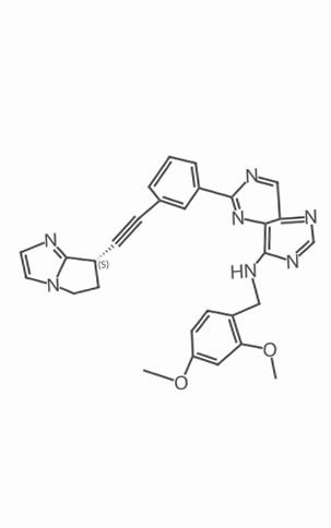 COc1ccc(CNc2ncnc3cnc(-c4cccc(C#C[C@@H]5CCn6ccnc65)c4)nc23)c(OC)c1